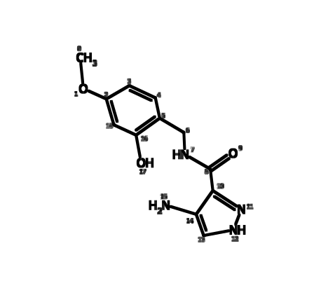 COc1ccc(CNC(=O)c2n[nH]cc2N)c(O)c1